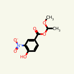 COC(C)OC(=O)c1ccc(O)c([N+](=O)[O-])c1